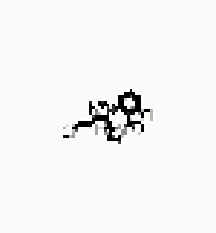 O=C1c2c(Cl)cccc2-n2cnc(C=CCl)c2[C@@H]2CCN12